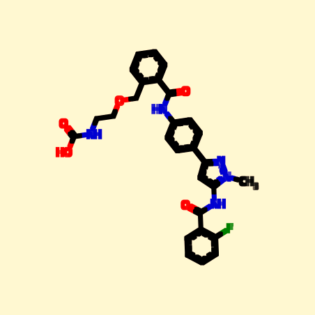 Cn1nc(-c2ccc(NC(=O)c3ccccc3COCCNC(=O)O)cc2)cc1NC(=O)c1ccccc1F